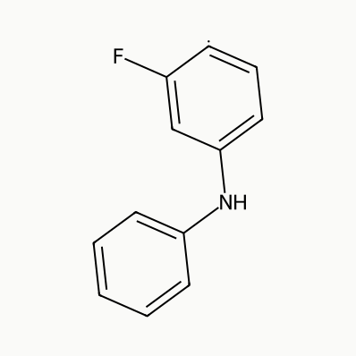 Fc1[c]ccc(Nc2ccccc2)c1